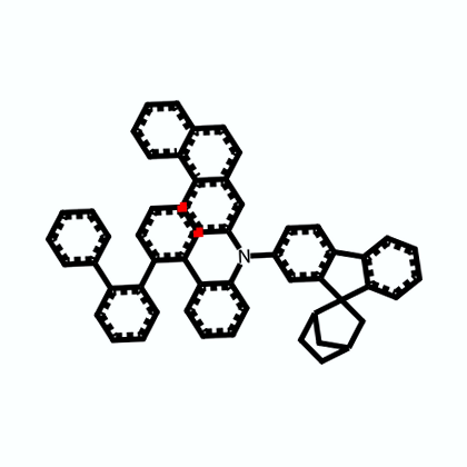 c1ccc(-c2ccccc2-c2ccccc2-c2ccccc2N(c2ccc3c(c2)C2(CC4CCC2C4)c2ccccc2-3)c2ccc3c(ccc4ccccc43)c2)cc1